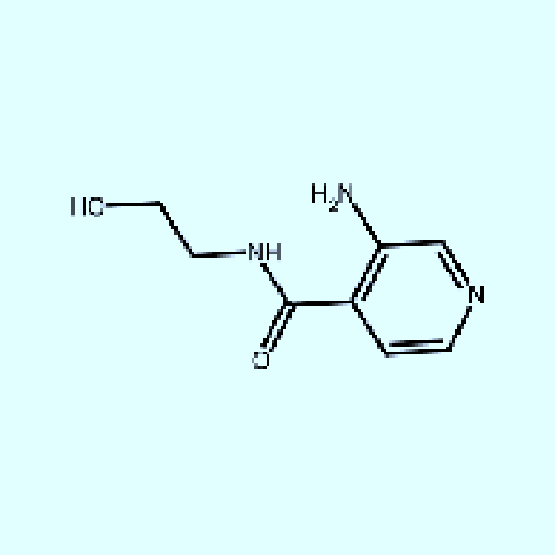 Nc1cnccc1C(=O)NCCO